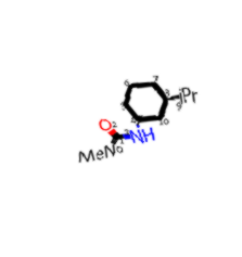 CNC(=O)N[C@@H]1CCC[C@@H](C(C)C)C1